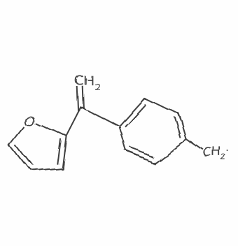 [CH2]c1ccc(C(=C)c2ccco2)cc1